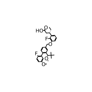 CC[C@@H](CC(=O)O)c1cccc(OCc2ccc(-c3cc(OC)ccc3F)c([C@H](OC)C(C)(C)C)c2)c1F